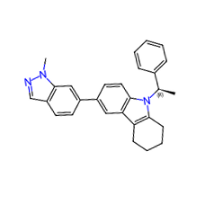 C[C@H](c1ccccc1)n1c2c(c3cc(-c4ccc5cnn(C)c5c4)ccc31)CCCC2